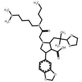 CCCCN(CCCCN(C)C)C(=O)CN1CC(c2ccc3c(c2)OCO3)C(C(=O)O)C1CC(C)(C)C1OCCO1